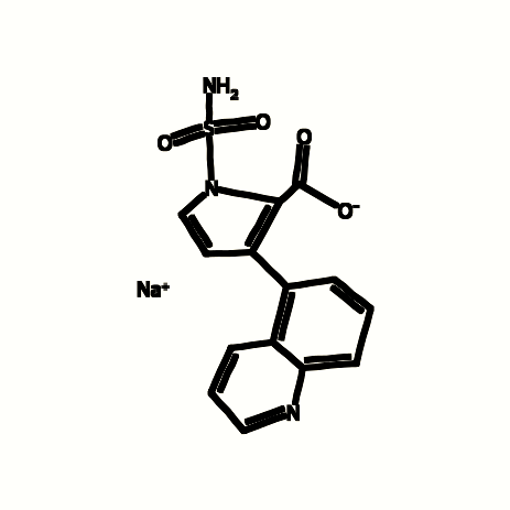 NS(=O)(=O)n1ccc(-c2cccc3ncccc23)c1C(=O)[O-].[Na+]